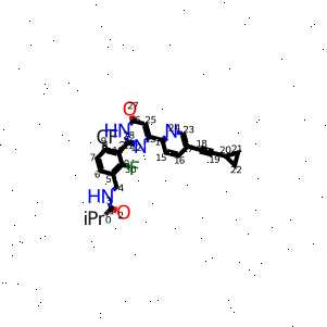 CC(C)C(=O)NCc1ccc(C(F)(F)F)c(-c2nc(-c3ccc(C#CC4CC4)cn3)cc(=O)[nH]2)c1F